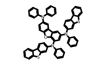 c1ccc(N(c2ccccc2)c2ccc3oc4c(N(c5ccccc5)c5ccc6c(c5)sc5ccccc56)cc(N(c5ccccc5)c5ccc6c(c5)sc5ccccc56)cc4c3c2)cc1